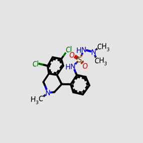 CN1Cc2c(Cl)cc(Cl)cc2C(c2ccccc2NS(=O)(=O)NN(C)C)C1